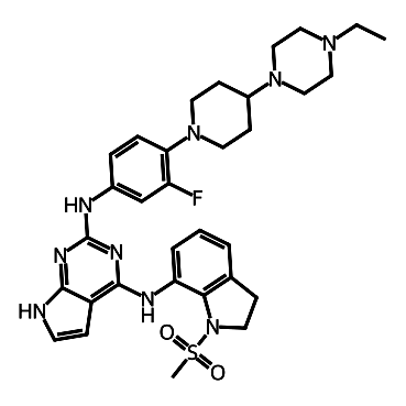 CCN1CCN(C2CCN(c3ccc(Nc4nc(Nc5cccc6c5N(S(C)(=O)=O)CC6)c5cc[nH]c5n4)cc3F)CC2)CC1